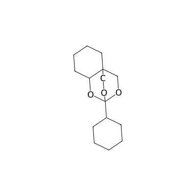 C1CCC(C23OCC4(CCCCC4O2)CO3)CC1